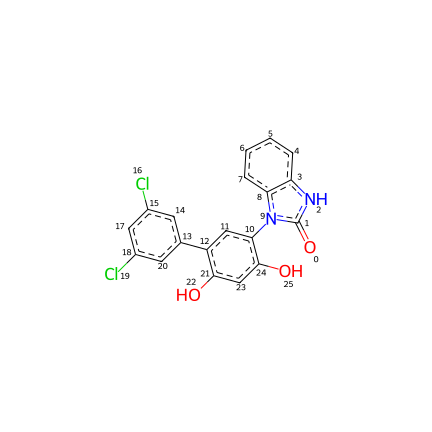 O=c1[nH]c2ccccc2n1-c1cc(-c2cc(Cl)cc(Cl)c2)c(O)cc1O